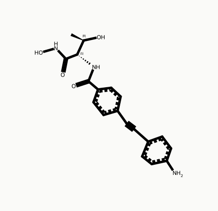 C[C@@H](O)[C@H](NC(=O)c1ccc(C#Cc2ccc(N)cc2)cc1)C(=O)NO